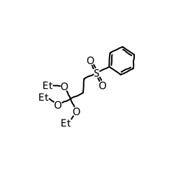 CCOC(CCS(=O)(=O)c1ccccc1)(OCC)OCC